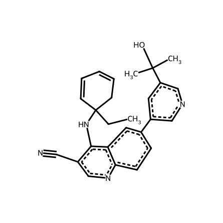 CCC1(Nc2c(C#N)cnc3ccc(-c4cncc(C(C)(C)O)c4)cc23)C=CC=CC1